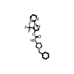 O=C(NC1CCN(Cc2ccccc2)C1)Oc1cnn(-c2ncccn2)c1C(F)(F)F